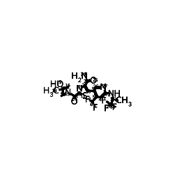 C[C@H](Nc1cc(C(F)F)c(-c2sc(C(=O)N3CC(C)(O)C3)nc2C(N)=O)cn1)C(F)(F)F